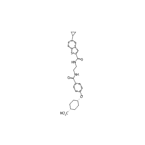 O=C(NCCNC(=O)c1cc2cc(C3CC3)ccc2s1)c1ccc(O[C@H]2CC[C@@H](C(=O)O)CC2)cc1